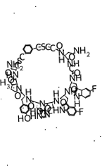 C[C@@]12CCCN1C(=O)[C@H](Cc1ccc(O)cc1)NC(=O)[C@@H](Cc1cnc[nH]1)NC(=O)[C@H](CC(=O)O)NC(=O)[C@H](Cc1c[nH]c3ccc(F)cc13)NC(=O)[C@H](CC1=CNC3C=CC(F)=CC13)NC(=O)CNC(=O)[C@H](CCN)NC(=O)CCSCc1cccc(c1)CSC[C@H](C(N)=O)NC2=O